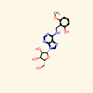 COc1cccc(O)c1CNc1ncnc2c1ncn2[C@@H]1O[C@H](CO)[C@@H](O)[C@H]1O